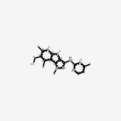 Cc1ccnc(Nc2nn(C)c3c2sc2nc(C)c(CI)c(C)c23)n1